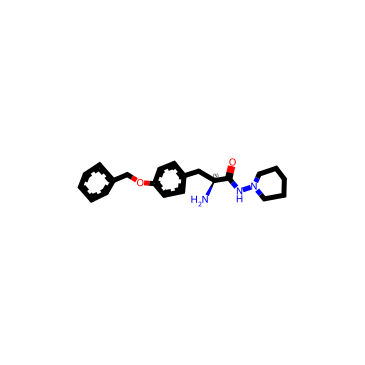 N[C@@H](Cc1ccc(OCc2ccccc2)cc1)C(=O)NN1CCCCC1